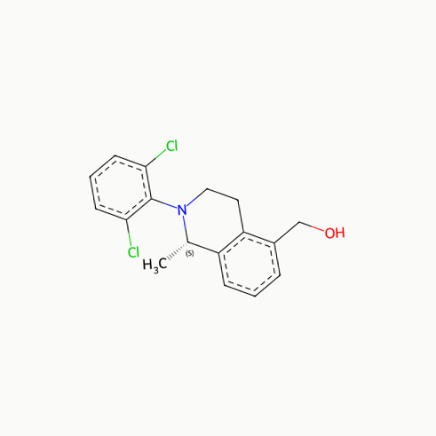 C[C@H]1c2cccc(CO)c2CCN1c1c(Cl)cccc1Cl